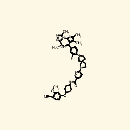 COc1cc(OC2CCC(NC(=O)c3ccc(N4CCC5(CCN(c6ccc(C7=N[C@@H](C)c8nnc(C)n8-c8sc(C)c(C)c87)cc6F)C5)C4)nn3)CC2)ccc1C#N